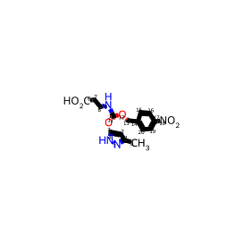 Cc1cc[nH]n1.O=C(O)CCNC(=O)OCc1ccc([N+](=O)[O-])cc1